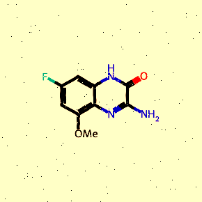 COc1cc(F)cc2[nH]c(=O)c(N)nc12